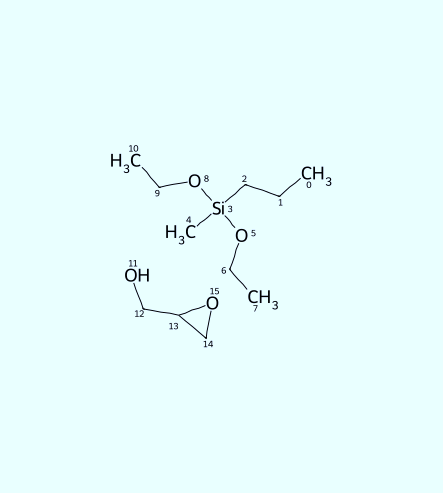 CCC[Si](C)(OCC)OCC.OCC1CO1